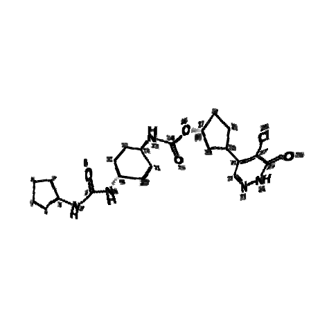 O=C(NC1CCCC1)N[C@H]1CC[C@H](NC(=O)O[C@@H]2CCC(c3cn[nH]c(=O)c3Cl)C2)CC1